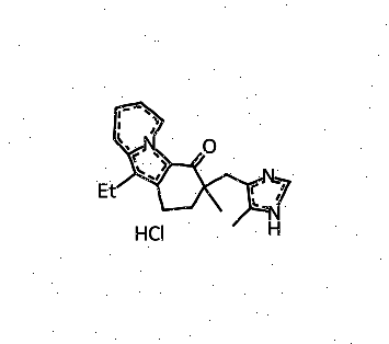 CCc1c2c(n3ccccc13)C(=O)C(C)(Cc1nc[nH]c1C)CC2.Cl